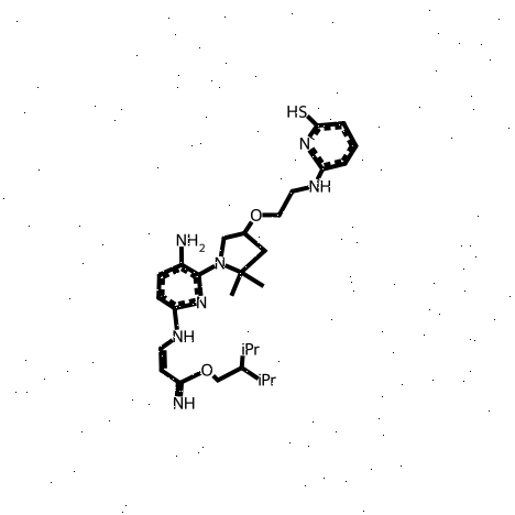 CC(C)C(COC(=N)/C=C\Nc1ccc(N)c(N2CC(OCCNc3cccc(S)n3)CC2(C)C)n1)C(C)C